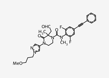 COCCCn1cc(N2CCN(C(=O)N(C)c3c(F)cc(C#Cc4ccccc4)cc3F)C(C)(CC=O)C2=O)cn1